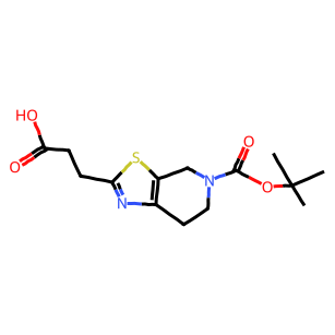 CC(C)(C)OC(=O)N1CCc2nc(CCC(=O)O)sc2C1